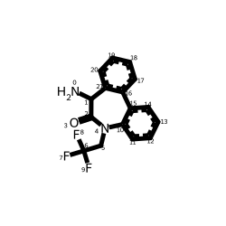 NC1C(=O)N(CC(F)(F)F)c2ccccc2-c2ccccc21